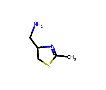 CC1=NC(CN)CS1